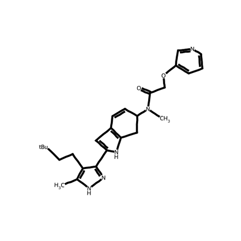 Cc1[nH]nc(-c2cc3c([nH]2)CC(N(C)C(=O)COc2cccnc2)C=C3)c1CCC(C)(C)C